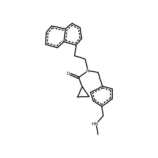 CNCc1ccc(CN(CCc2cccc3ccccc23)C(=O)C2CC2)cc1